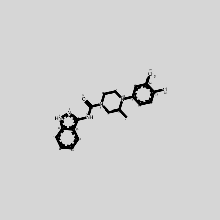 CC1CN(C(=O)Nc2n[nH]c3ccccc23)CCN1c1ccc(Cl)c(C(F)(F)F)c1